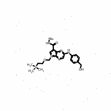 CC(C)(C)NC(=O)c1cn(COCC[Si](C)(C)C)c2ncc(Nc3ccc(CO)cc3)nc12